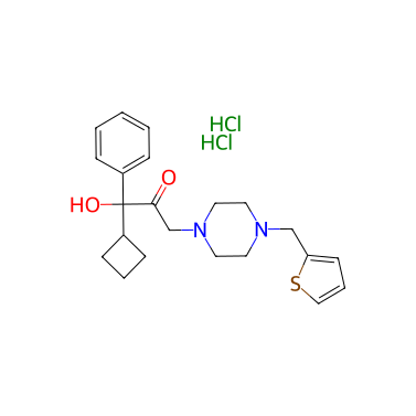 Cl.Cl.O=C(CN1CCN(Cc2cccs2)CC1)C(O)(c1ccccc1)C1CCC1